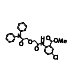 COC(=O)c1cc(Cl)ccc1NC(=O)COCC(=O)N(c1ccccc1)c1ccccc1